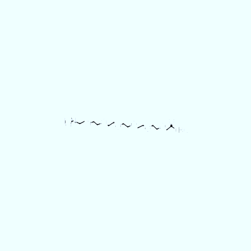 CC(C)(C)NCCOCCOCCOCCOCCOCCOCC(=O)C(C)(C)C